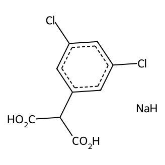 O=C(O)C(C(=O)O)c1cc(Cl)cc(Cl)c1.[NaH]